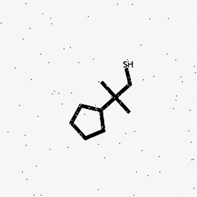 [CH2]C(C)(CS)C1CCCC1